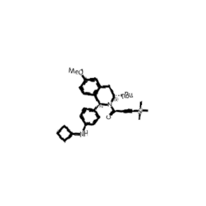 CCCC[C@H]1Cc2cc(OC)ccc2[C@H](c2ccc(NC3CCC3)cc2)N1C(=O)C#C[Si](C)(C)C